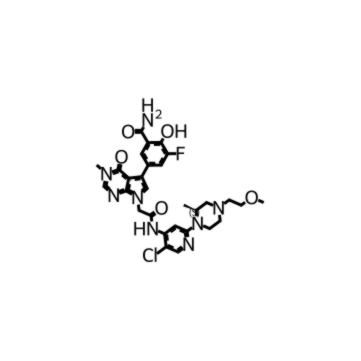 COCCN1CCN(c2cc(NC(=O)Cn3cc(-c4cc(F)c(O)c(C(N)=O)c4)c4c(=O)n(C)cnc43)c(Cl)cn2)[C@@H](C)C1